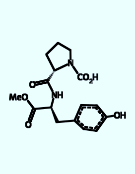 COC(=O)[C@H](Cc1ccc(O)cc1)NC(=O)[C@@H]1CCCN1C(=O)O